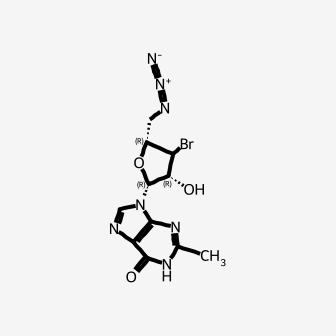 Cc1nc2c(ncn2[C@@H]2O[C@H](CN=[N+]=[N-])C(Br)[C@@H]2O)c(=O)[nH]1